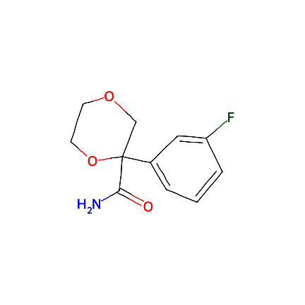 NC(=O)C1(c2cccc(F)c2)COCCO1